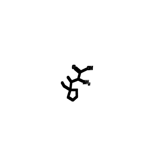 CCC1(C(C)C(N)C(=O)O)CCCC1